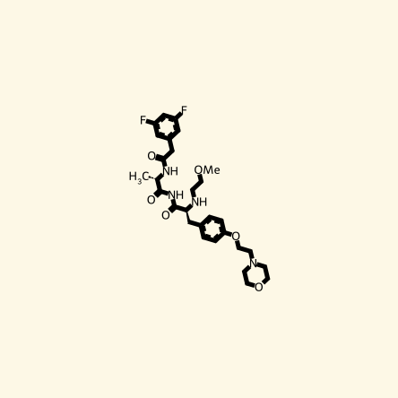 COCCN[C@@H](Cc1ccc(OCCN2CCOCC2)cc1)C(=O)NC(=O)[C@H](C)NC(=O)Cc1cc(F)cc(F)c1